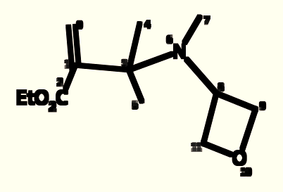 C=C(C(=O)OCC)C(C)(C)N(C)C1COC1